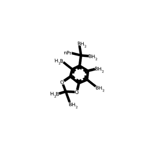 Bc1c(B)c(C(B)(B)CCC)c(B)c2c1OC(B)(B)O2